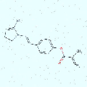 C=C(C)C(=O)Oc1ccc(C=CC2CCC=C2CC)cc1